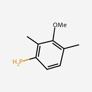 COc1c(C)ccc(P)c1C